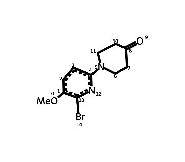 COc1ccc(N2CCC(=O)CC2)nc1Br